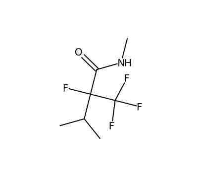 CNC(=O)C(F)(C(C)C)C(F)(F)F